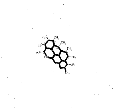 CC1CC2CC3N[C@H](C)C4C5C3C3C2C([C@@H]1C)[C@@H](C)[C@@H](C)C3[C@@H](C)C5[C@@H](C)[C@@H](C)[C@H]4C